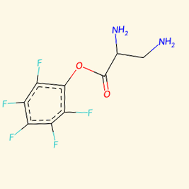 NCC(N)C(=O)Oc1c(F)c(F)c(F)c(F)c1F